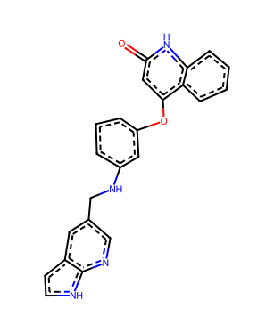 O=c1cc(Oc2cccc(NCc3cnc4[nH]ccc4c3)c2)c2ccccc2[nH]1